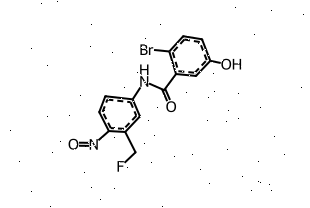 O=Nc1ccc(NC(=O)c2cc(O)ccc2Br)cc1CF